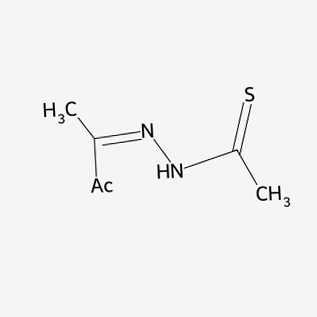 CC(=O)/C(C)=N\NC(C)=S